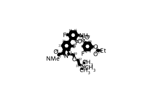 CCC(=O)Oc1cc(F)cc(S(=O)(=O)Nc2ccc(F)c(-c3ccc4c(C(=O)NC)nn(COCC[Si](C)(C)C)c4c3F)c2F)c1